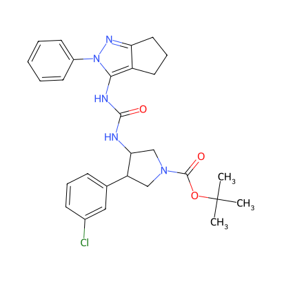 CC(C)(C)OC(=O)N1CC(NC(=O)Nc2c3c(nn2-c2ccccc2)CCC3)C(c2cccc(Cl)c2)C1